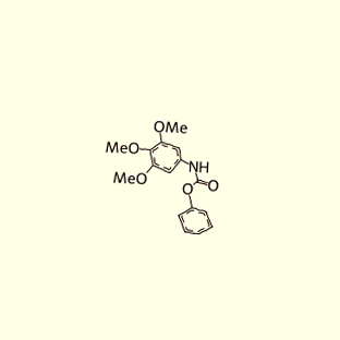 COc1cc(NC(=O)Oc2ccccc2)cc(OC)c1OC